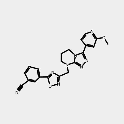 COc1cc(-c2nnc3n2CCCN3Cc2noc(-c3cccc(C#N)c3)n2)ccn1